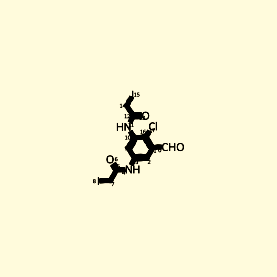 O=Cc1cc(NC(=O)CI)cc(NC(=O)CI)c1Cl